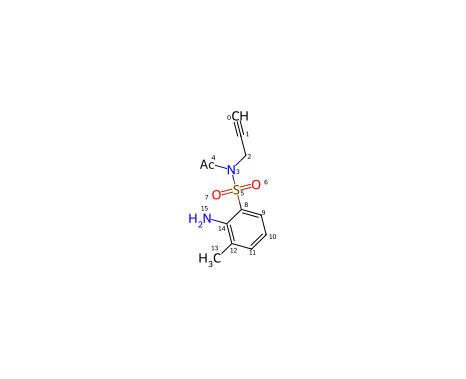 C#CCN(C(C)=O)S(=O)(=O)c1cccc(C)c1N